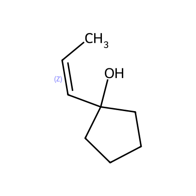 C/C=C\C1(O)CCCC1